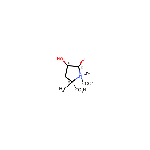 CC[N+]1(C(=O)[O-])[C@H](O)[C@H](O)C[C@@]1(C)C(=O)O